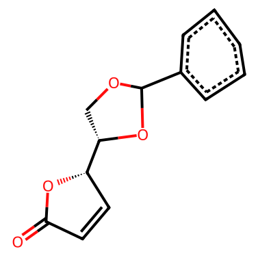 O=C1C=C[C@@H]([C@@H]2COC(c3ccccc3)O2)O1